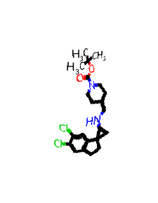 CC(C)(C)OC(=O)N1CCC(CNC2CC23CCc2cc(Cl)c(Cl)cc23)CC1